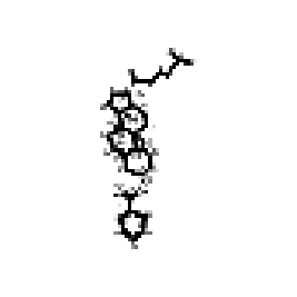 CC(C)CCCC(C)[C@H]1CC[C@H]2[C@@H]3CC=C4C[C@@H](OC(=O)c5ccccc5)CC[C@]4(C)[C@H]3CC[C@]12C